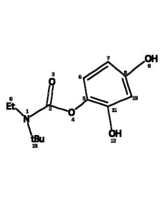 CCN(C(=O)Oc1ccc(O)cc1O)C(C)(C)C